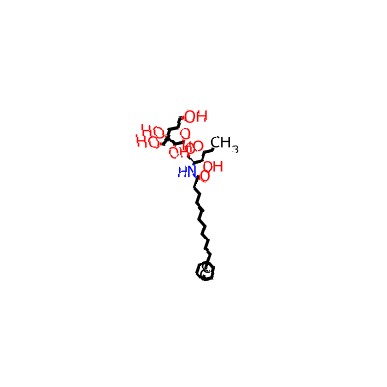 CC[C@@H](O)[C@@H](O)[C@H](COC1OC(CO)CC(O)(CO)C1O)NC(=O)CCCCCCCCCCC12CCC(CC1)CC2